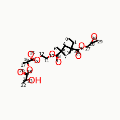 CCC(C)(CC(C)(C)C(=O)OCCOC(=O)C(C)OC(=O)C(C)O)C(=O)OCC1CO1